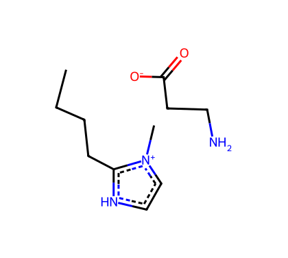 CCCCc1[nH]cc[n+]1C.NCCC(=O)[O-]